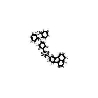 c1ccc2c(c1)Oc1ccccc1N2c1ccc(-c2nc(-c3ccc4c(c3)-c3cccc5cccc-4c35)ns2)cc1